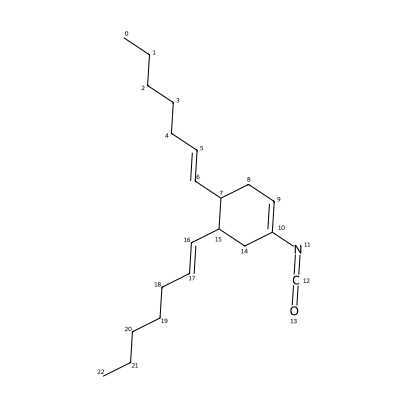 CCCCCC=CC1CC=C(N=C=O)CC1C=CCCCCC